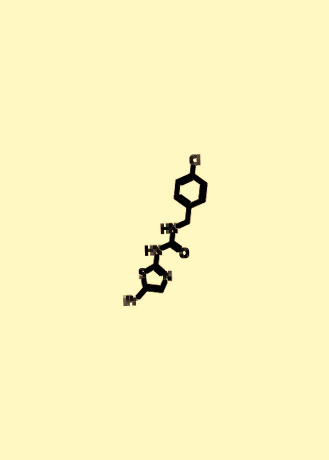 CC(C)c1cnc(NC(=O)NCc2ccc(Cl)cc2)s1